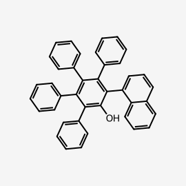 Oc1c(-c2ccccc2)c(-c2ccccc2)c(-c2ccccc2)c(-c2ccccc2)c1-c1cccc2ccccc12